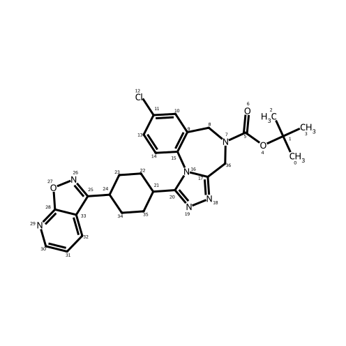 CC(C)(C)OC(=O)N1Cc2cc(Cl)ccc2-n2c(nnc2C2CCC(c3noc4ncccc34)CC2)C1